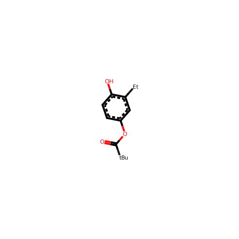 CCc1cc(OC(=O)C(C)(C)C)ccc1O